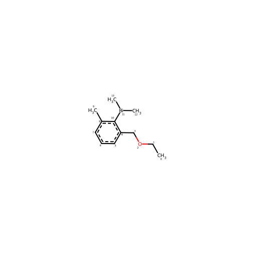 CCOCc1cccc(C)[c]1[Bi]([CH3])[CH3]